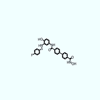 O=C(NO)c1ccc(-c2ccc(C(=O)Nc3ccc(O)c(NSc4ccc(F)cc4)c3)cc2)cc1